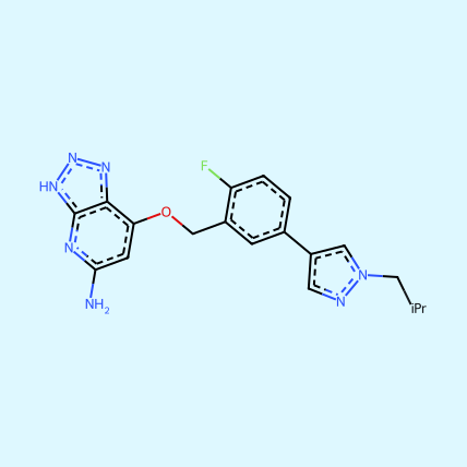 CC(C)Cn1cc(-c2ccc(F)c(COc3cc(N)nc4[nH]nnc34)c2)cn1